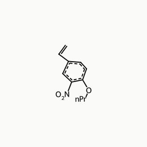 C=Cc1ccc(OCCC)c([N+](=O)[O-])c1